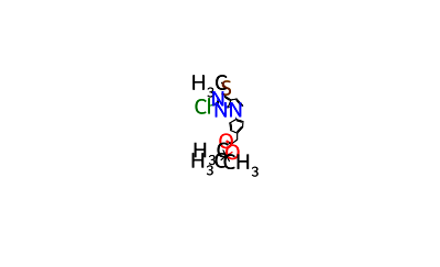 CSc1nc(Cl)nc2c1ccn2-c1ccc(CC(=O)OC(C)(C)C)cc1